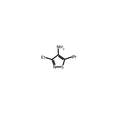 CCc1nsc(C(C)C)c1N